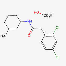 CC1CCCC(NC(=O)Cc2ccc(Cl)cc2Cl)C1.O=C(O)O